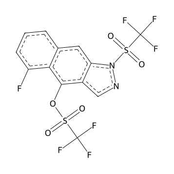 O=S(=O)(Oc1c2cnn(S(=O)(=O)C(F)(F)F)c2cc2cccc(F)c12)C(F)(F)F